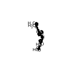 Cc1cccc(OCCCC(=O)N2CCCOc3c(-c4cnn(Cc5cccc(C(=O)NCCCS(=O)(=O)O)c5)c4)cccc32)c1C